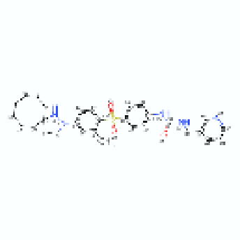 Cc1cc(N2CCC3(CCCCCCC3)N2)ccc1S(=O)(=O)c1ccc(NC(=O)NCc2cccnc2)cc1